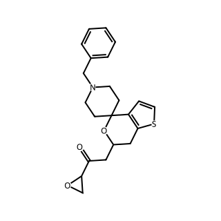 O=C(CC1Cc2sccc2C2(CCN(Cc3ccccc3)CC2)O1)C1CO1